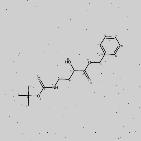 CC(C)(C)OC(=O)NCCC(O)C(=O)OCc1ccccc1